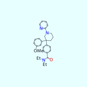 CCN(CC)C(=O)c1ccc(C2(c3cccc(OC)c3)CCCN(c3ccccn3)C2)cc1